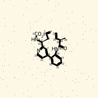 C=CC[C@H](NC(=O)O)c1cc(-c2ccccc2NC(=O)[C@H](C)C=C)ccn1